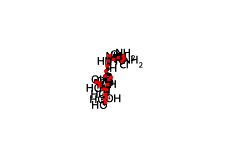 N=C(NCCCCc1ccc(OCCN(C[C@@H](O)[C@H](O)[C@H](O)CO)C[C@@H](O)[C@H](O)[C@H](O)CO)cc1)NC(=O)c1nc(Cl)c(N)nc1N